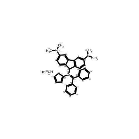 CN(C)c1ccc2c(c1)-c1cc(N(C)C)ccc1[CH]2[Zr]([C]1=CC=CC1)=[C](c1ccccc1)c1ccccc1.Cl.Cl